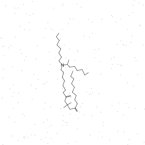 C=C(CCCCCCCCC)CC(C)(C)CC(=C)CCCCCCCN(CCCCCCCC)C(C)CCCCCC